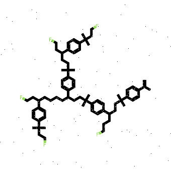 C=C(C)c1ccc(C(C)(C)CCC(CCCF)c2ccc(C(C)(C)CCC(CCCCC(CCF)c3ccc(C(C)(C)CCF)cc3)c3ccc(C(C)(C)CCC(CCF)c4ccc(C(C)(C)CCF)cc4)cc3)cc2)cc1